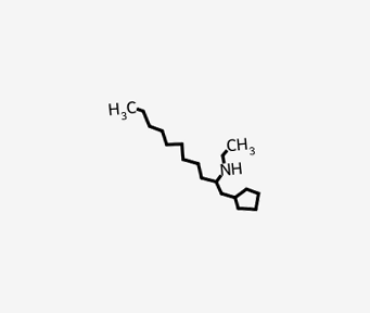 CCCCCCCCCC(CC1CCCC1)NCC